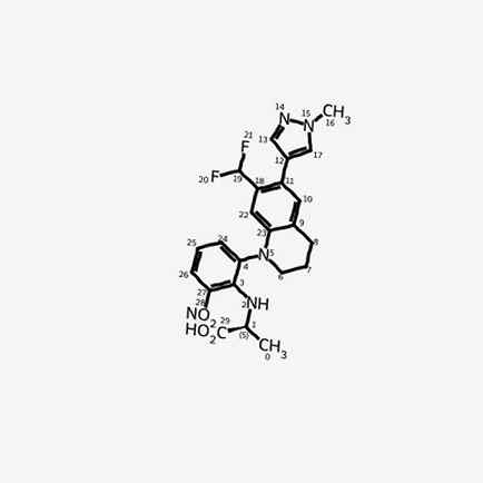 C[C@H](Nc1c(N2CCCc3cc(-c4cnn(C)c4)c(C(F)F)cc32)cccc1[N+](=O)[O-])C(=O)O